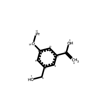 C=C(O)c1cc(CO)cc(OC(C)C)c1